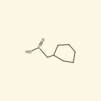 O=S(O)CC1CCCCC1